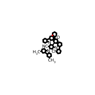 Cc1ccc2c(c1)c1cc(C)ccc1n2-c1c(C#N)c(-n2c3ccccc3c3ccccc32)c(-c2ccc3oc4ccccc4c3c2)c(-n2c3ccccc3c3ccccc32)c1C#N